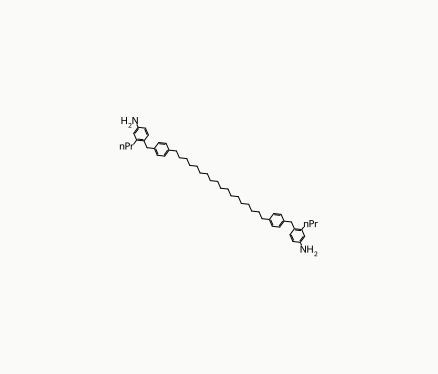 CCCc1cc(N)ccc1Cc1ccc(CCCCCCCCCCCCCCCCCCc2ccc(Cc3ccc(N)cc3CCC)cc2)cc1